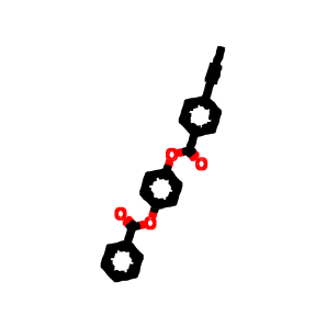 CC#Cc1ccc(C(=O)Oc2ccc(OC(=O)c3ccccc3)cc2)cc1